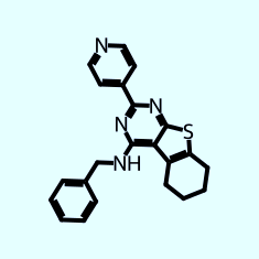 c1ccc(CNc2nc(-c3ccncc3)nc3sc4c(c23)CCCC4)cc1